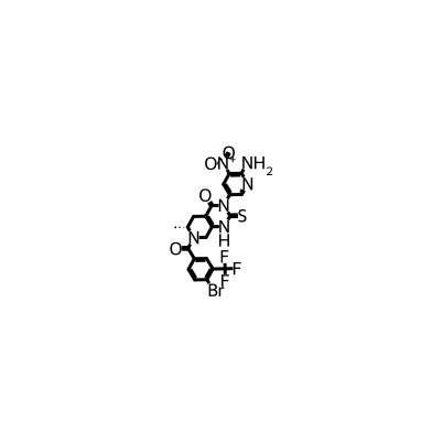 C[C@@H]1Cc2c([nH]c(=S)n(-c3cnc(N)c([N+](=O)[O-])c3)c2=O)CN1C(=O)c1ccc(Br)c(C(F)(F)F)c1